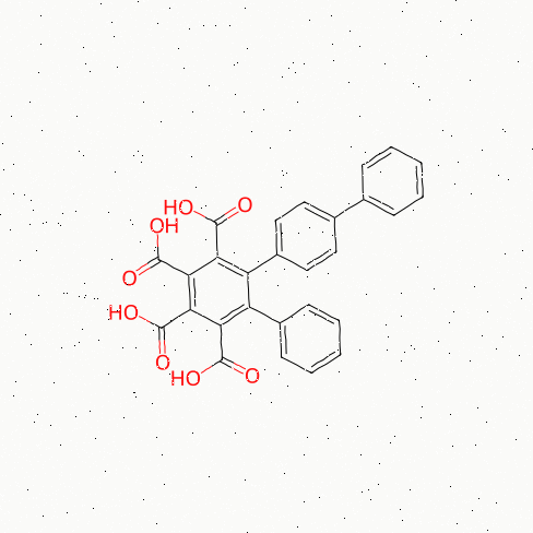 O=C(O)c1c(C(=O)O)c(C(=O)O)c(-c2ccc(-c3ccccc3)cc2)c(-c2ccccc2)c1C(=O)O